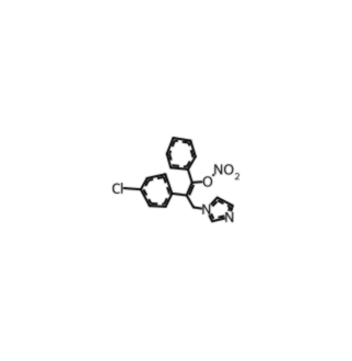 O=[N+]([O-])OC(=C(Cn1ccnc1)c1ccc(Cl)cc1)c1ccccc1